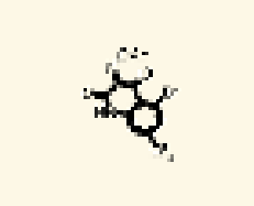 CC(=O)ON=C1C(=O)Nc2cc(C(F)(F)F)cc(Br)c2C1=O